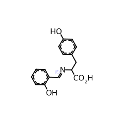 O=C(O)C(Cc1ccc(O)cc1)/N=C/c1ccccc1O